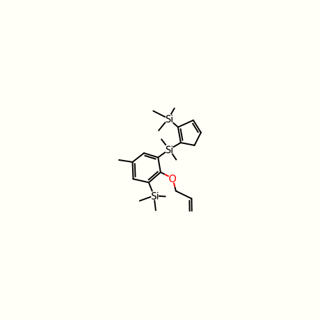 C=CCOc1c([Si](C)(C)C)cc(C)cc1[Si](C)(C)C1=C([Si](C)(C)C)C=CC1